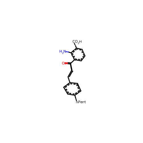 CCCCCc1ccc(C=CC(=O)c2cccc(C(=O)O)c2N)cc1